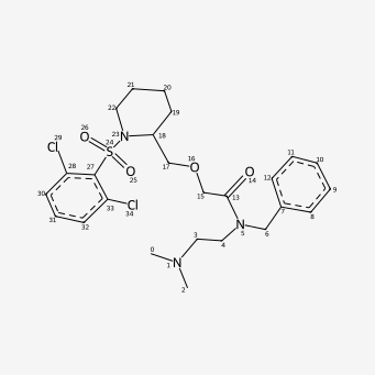 CN(C)CCN(Cc1ccccc1)C(=O)COCC1CCCCN1S(=O)(=O)c1c(Cl)cccc1Cl